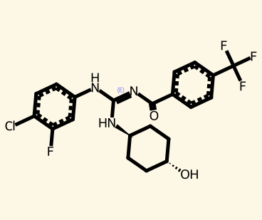 O=C(/N=C(/Nc1ccc(Cl)c(F)c1)N[C@H]1CC[C@H](O)CC1)c1ccc(C(F)(F)F)cc1